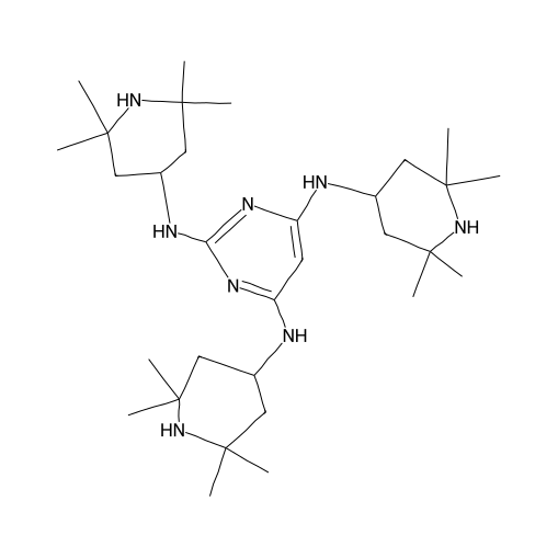 CC1(C)CC(Nc2cc(NC3CC(C)(C)NC(C)(C)C3)nc(NC3CC(C)(C)NC(C)(C)C3)n2)CC(C)(C)N1